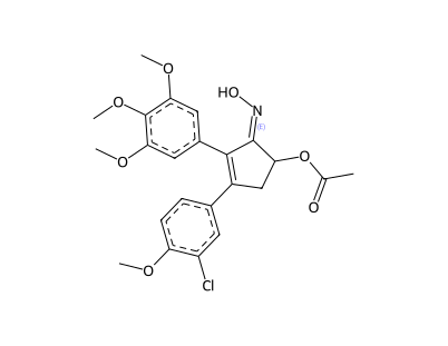 COc1ccc(C2=C(c3cc(OC)c(OC)c(OC)c3)/C(=N\O)C(OC(C)=O)C2)cc1Cl